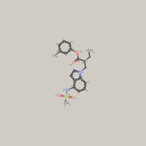 CC[C@@H](Cn1ccc2c(NS(C)(=O)=O)cccc21)C(=O)Oc1cccc(Cl)c1